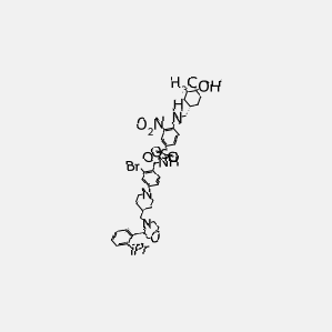 CC(C)c1ccccc1[C@@H]1COCCN1CC1CCN(c2ccc(C(=O)NS(=O)(=O)c3ccc(NC[C@H]4CC[C@](C)(O)CC4)c([N+](=O)[O-])c3)c(Br)c2)CC1